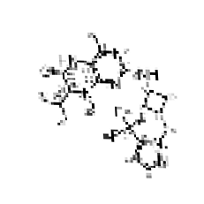 Cc1nc(N[C@H]2C[C@@H](Cn3nccc3C(F)(F)F)C2)nc2c1NC(=O)[C@H](C(C)C)N2C